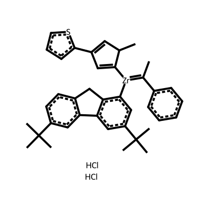 C/[C](c1ccccc1)=[Zr](\[C]1=CC(c2cccs2)=CC1C)[c]1cc(C(C)(C)C)cc2c1Cc1ccc(C(C)(C)C)cc1-2.Cl.Cl